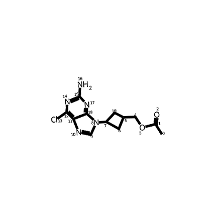 CC(=O)OCC1CC(n2cnc3c(Cl)nc(N)nc32)C1